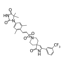 Cc1cc(N2C(=O)NC(=O)C2(C)C)cc(C)c1/C=C/S(=O)(=O)N1CCC2(C=C(c3cccc(C(F)(F)F)c3)NC2=O)CC1